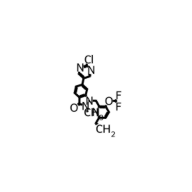 C=Cc1ccc(OC(F)F)c(Cn2c3cc(-c4cnc(Cl)nc4)ccc3c(=O)n2C)n1